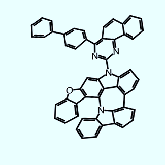 c1ccc(-c2ccc(-c3nc(-n4c5cccc6c7cccc8c9ccccc9n(c78)c7c8c(cc4c7c65)oc4ccccc48)nc4c3ccc3ccccc34)cc2)cc1